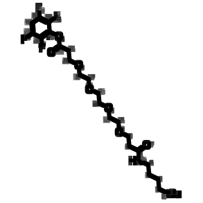 CC(C)(C)CCCCNC(=O)CCOCCOCCOCCOCCC(=O)Oc1c(F)c(F)cc(F)c1F